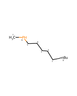 CCCCCCCCCPC